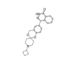 O=c1[nH]nc(-c2ccc3c(c2)COC2(CCN(C4CCC4)CC2)O3)c2ccccc12